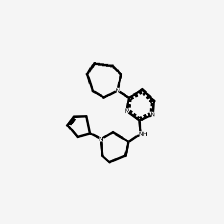 C1=CCC(N2CCCC(Nc3nccc(N4CCCCCC4)n3)C2)C1